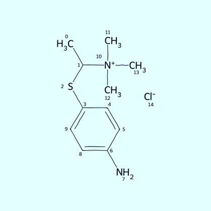 CC(Sc1ccc(N)cc1)[N+](C)(C)C.[Cl-]